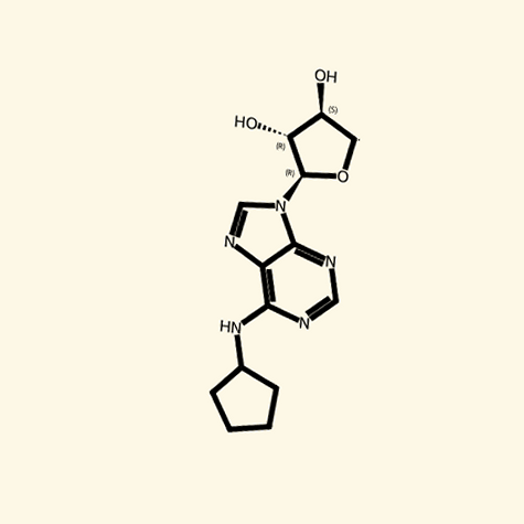 O[C@H]1[C@H](n2cnc3c(NC4CCCC4)ncnc32)O[CH][C@@H]1O